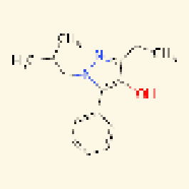 CCc1nn(CC(C)C)c(-c2ccccc2)c1O